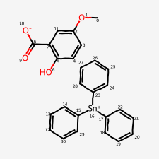 COc1ccc(O)c(C(=O)[O-])c1.c1cc[c]([Sn+]([c]2ccccc2)[c]2ccccc2)cc1